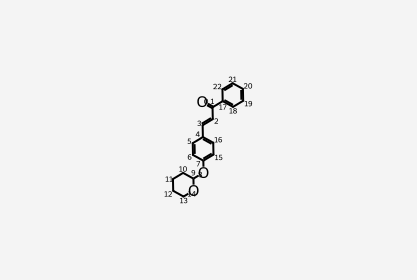 O=C(/C=C/c1ccc(OC2CCCCO2)cc1)c1ccccc1